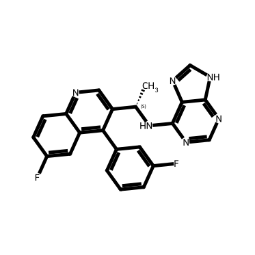 C[C@H](Nc1ncnc2[nH]cnc12)c1cnc2ccc(F)cc2c1-c1cccc(F)c1